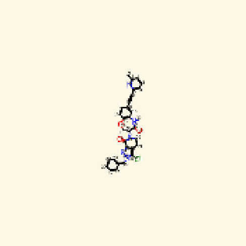 Cc1cccc(C#Cc2ccc3c(c2)N(C)C(=O)[C@H](N2CCc4c(nn(Cc5ccccc5)c4Cl)C2=O)CO3)n1